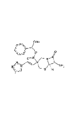 COC(OC(=O)C1(C=Cc2csnn2)CS[C@@H]2C(N)C(=O)N2C1)c1ccccc1